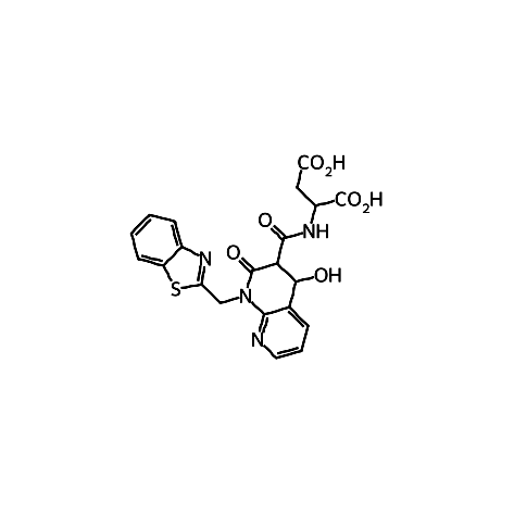 O=C(O)CC(NC(=O)C1C(=O)N(Cc2nc3ccccc3s2)c2ncccc2C1O)C(=O)O